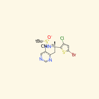 CC(C)(C)[S+]([O-])N[C@@](C)(Cc1ncncc1C#N)c1sc(Br)cc1Cl